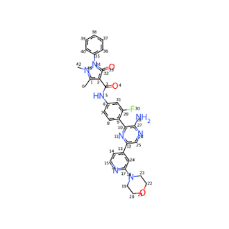 Cc1c(C(=O)Nc2ccc(-c3nc(-c4ccnc(N5CCOCC5)c4)cnc3N)c(F)c2)c(=O)n(-c2ccccc2)n1C